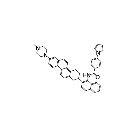 CN1CCN(c2ccc3c(ccc4c5c(ccc43)CC(c3ccc4ccccc4c3NC(=O)c3ccc(-n4cccc4)cc3)CC5)c2)CC1